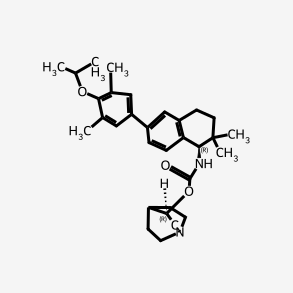 Cc1cc(-c2ccc3c(c2)CCC(C)(C)[C@H]3NC(=O)O[C@H]2CN3CCC2CC3)cc(C)c1OC(C)C